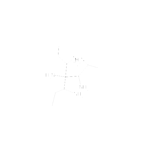 CCC(N)C(N)C(N)(C(N)CC)C(N)CC